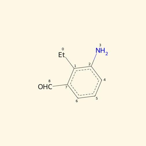 CCc1c(N)cccc1C=O